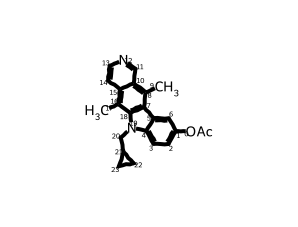 CC(=O)Oc1ccc2c(c1)c1c(C)c3cnccc3c(C)c1n2CC1CC1